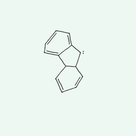 [C]1c2ccccc2C2C=CC=CC12